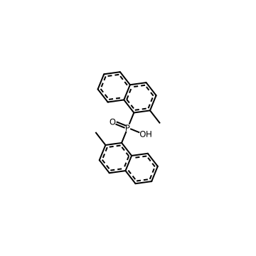 Cc1ccc2ccccc2c1P(=O)(O)c1c(C)ccc2ccccc12